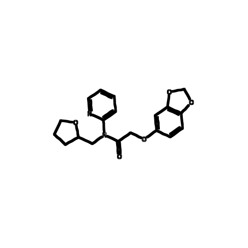 O=C(COc1ccc2c(c1)OCO2)N(CC1CCCO1)c1ccccn1